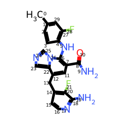 Cc1ccc(Nc2c(C(N)=O)cc(Cc3ccnc(N)c3F)c3cncn23)c(F)c1